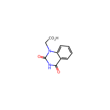 O=C(O)Cn1c(=O)[nH]c(=O)c2ccccc21